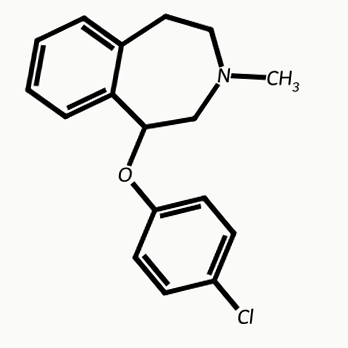 CN1CCc2ccccc2C(Oc2ccc(Cl)cc2)C1